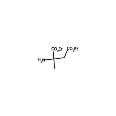 CCOC(=O)CC(C)(N)C(=O)OCC